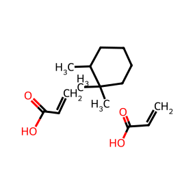 C=CC(=O)O.C=CC(=O)O.CC1CCCCC1(C)C